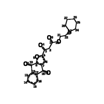 O=C(CC(=O)c1cc2c(o1)C(=O)c1ccccc1C2=O)OCCN1CCCCC1